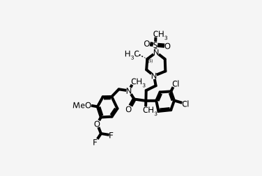 COc1cc(CN(C)C(=O)C(C)(CCN2CCN(S(C)(=O)=O)[C@@H](C)C2)c2ccc(Cl)c(Cl)c2)ccc1OC(F)F